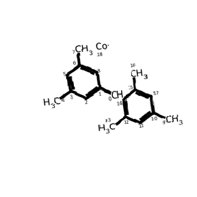 Cc1cc(C)cc(C)c1.Cc1cc(C)cc(C)c1.[Co]